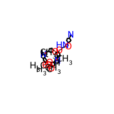 COc1cc2c3cc1Oc1c(OC)c(OC)cc4c1[C@@H](Cc1ccc(OCCCNC(=O)c5ccc(C#N)cc5)c(c1)Oc1ccc(cc1)C[C@@H]3N(C)CC2)N(C)CC4